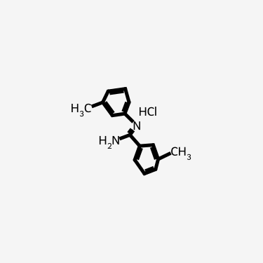 Cc1cccc(N=C(N)c2cccc(C)c2)c1.Cl